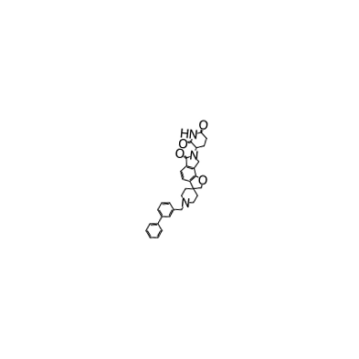 O=C1CCC(N2Cc3c(ccc4c3OCC43CCN(Cc4cccc(-c5ccccc5)c4)CC3)C2=O)C(=O)N1